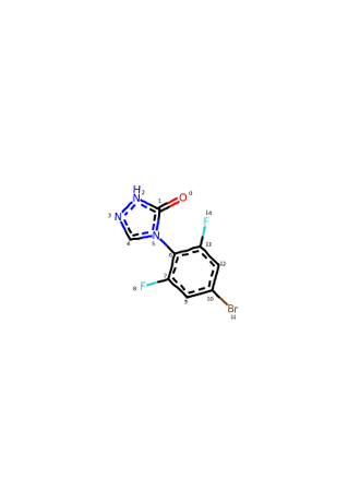 O=c1[nH]ncn1-c1c(F)cc(Br)cc1F